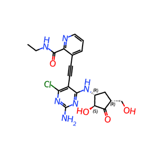 CCNC(=O)c1ncccc1C#Cc1c(Cl)nc(N)nc1N[C@@H]1C[C@H](CO)C(=O)[C@H]1O